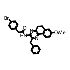 COc1ccc2c(c1)CCc1nc(NC(=O)Cc3ccc(Br)cc3)c(Cc3ccccc3)nc1-2